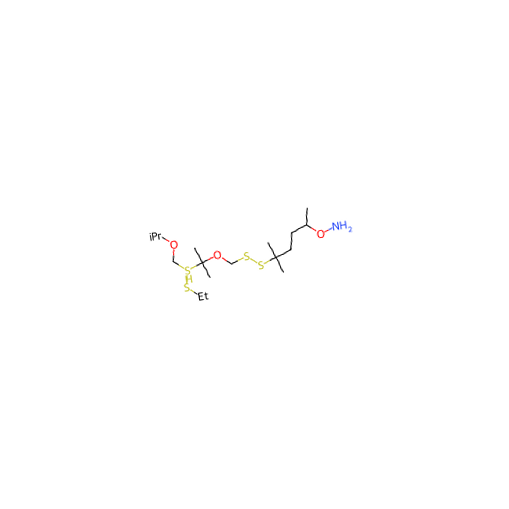 CCS[SH](COC(C)C)C(C)(C)OCSSC(C)(C)CCC(C)ON